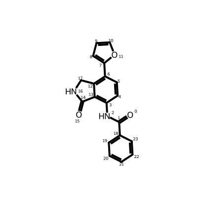 O=C(Nc1ccc(-c2ccco2)c2c1C(=O)NC2)c1ccccc1